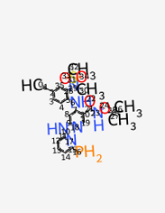 C#Cc1ccc(Nc2cc(Nc3cccc(P)n3)ncc2C(=O)NOC(C)C)c(N(C)S(C)(=O)=O)c1